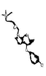 C[Si](C)(C)CCOCn1ccc2c(Oc3ccc(Cl)cc3)ccnc21